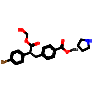 C1CCNC1.CC(C)(C)OC(=O)c1ccc(C[C@@H](C(=O)OCO)c2ccc(Br)cc2)cc1